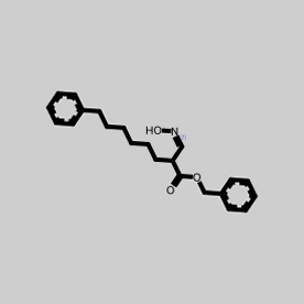 O=C(OCc1ccccc1)C(/C=N\O)CCCCCCc1ccccc1